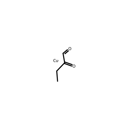 CCC(=O)C=O.[Cu]